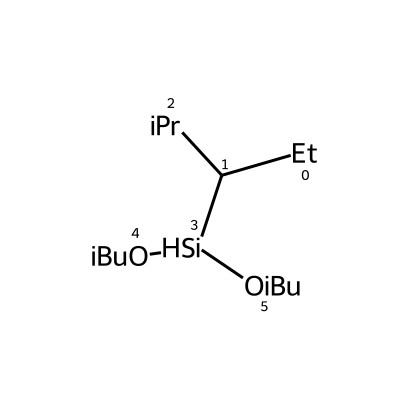 CCC(C(C)C)[SiH](OCC(C)C)OCC(C)C